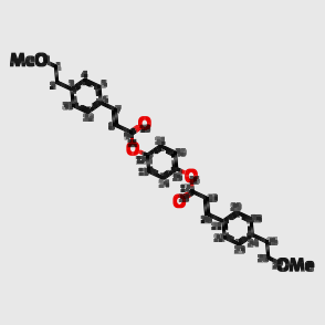 COCCc1ccc(/C=C/C(=O)Oc2ccc(OC(=O)/C=C/c3ccc(CCOC)cc3)cc2)cc1